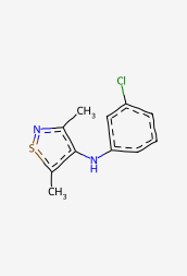 Cc1nsc(C)c1Nc1cccc(Cl)c1